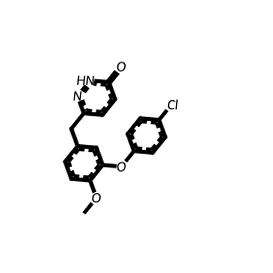 COc1ccc(Cc2ccc(=O)[nH]n2)cc1Oc1ccc(Cl)cc1